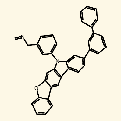 C=NCc1cccc(-n2c3cc(-c4cccc(-c5ccccc5)c4)ccc3c3cc4c(cc32)oc2ccccc24)c1